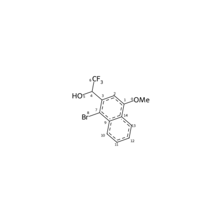 COc1cc(C(O)C(F)(F)F)c(Br)c2ccccc12